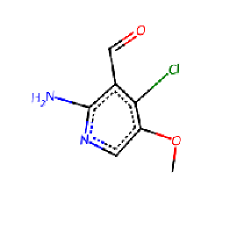 COc1cnc(N)c(C=O)c1Cl